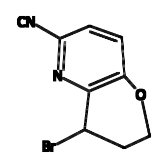 [C-]#[N+]c1ccc2c(n1)C(Br)CCO2